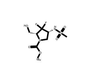 CC(C)(C)OC(=O)N1C[C@@H](NS(C)(=O)=O)C(F)(F)[C@H]1CO